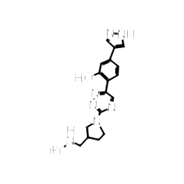 CC(C)NCC1CCN(c2ncc(-c3ccc(-c4cn[nH]c4)cc3O)nn2)C1